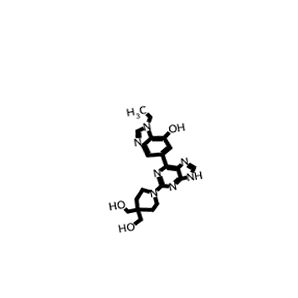 CCn1cnc2cc(-c3nc(N4CCC(CO)(CO)CC4)nc4[nH]cnc34)cc(O)c21